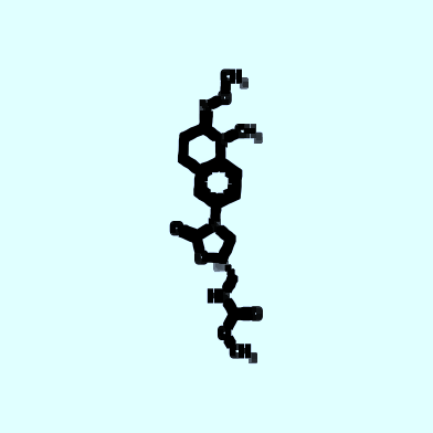 CON=C1CCc2cc(N3C[C@H](CNC(=O)OC)OC3=O)ccc2N1C